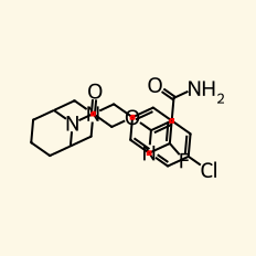 NC(=O)c1cc(Cl)cnc1OCC(=O)N1C2CCCC1CN(Cc1ccc(F)cc1)C2